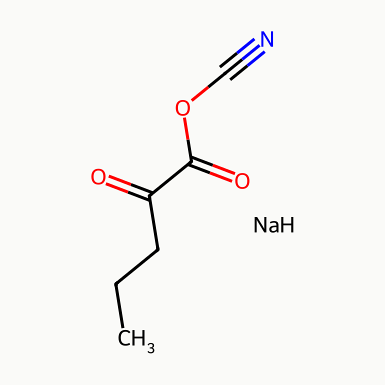 CCCC(=O)C(=O)OC#N.[NaH]